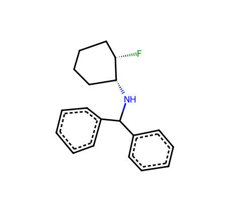 F[C@H]1CCCC[C@H]1NC(c1ccccc1)c1ccccc1